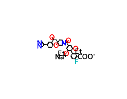 CCOc1cc(C(=O)N2CCC3(CC2)CC(=O)c2cc(-c4cnn(C)c4)ccc2O3)cc(OCC)c1-c1ccc(F)c(C(=O)[O-])c1.[Na+]